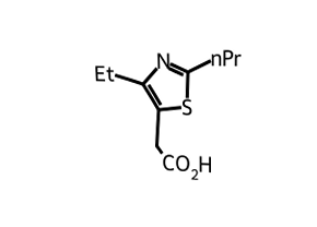 CCCc1nc(CC)c(CC(=O)O)s1